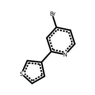 Brc1ccnc(-c2ccsc2)c1